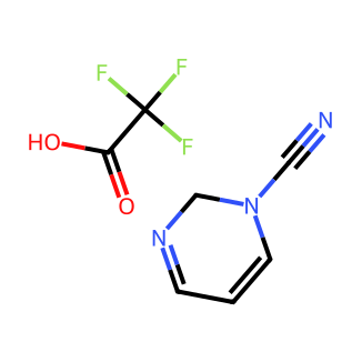 N#CN1C=CC=NC1.O=C(O)C(F)(F)F